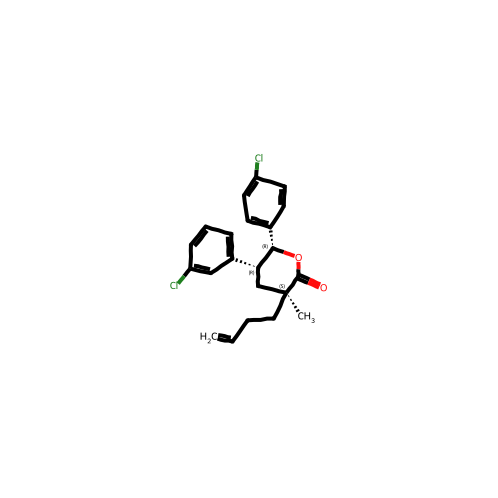 C=CCC[C@@]1(C)C[C@H](c2cccc(Cl)c2)[C@H](c2ccc(Cl)cc2)OC1=O